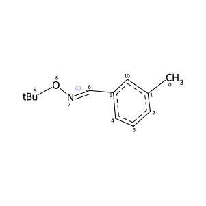 Cc1cccc(/[C]=N/OC(C)(C)C)c1